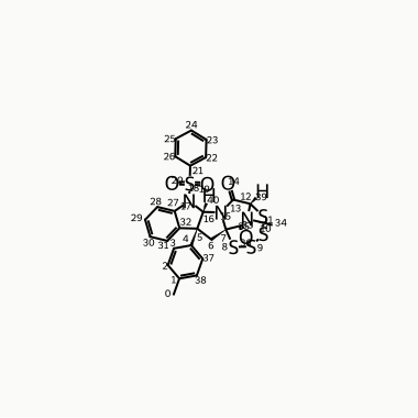 Cc1ccc([C@]23C[C@@]45SSSS[C@@H](C(=O)N4[C@H]2N(S(=O)(=O)c2ccccc2)c2ccccc23)N(C)C5=O)cc1